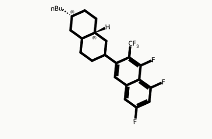 CCCC[C@@H]1CC[C@@H]2CC(c3cc4cc(F)cc(F)c4c(F)c3C(F)(F)F)CCC2C1